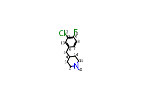 CN1CCC(Cc2ccc(F)c(Cl)c2)CC1